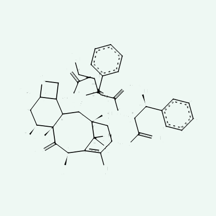 C=C(O[C@H]1C[C@@]2(O)[C@@H](OC(=O)c3ccccc3)[C@@H]3[C@]4(OC(C)=O)CO[C@@H]4C[C@H](C)[C@@]3(C)C(=O)[C@H](C)C(=C1C)C2(C)C)[C@H](OC(=O)OCCS)[C@@H](C)c1ccccc1